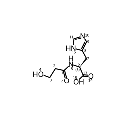 O=C(CCO)N[C@@H](Cc1cnc[nH]1)C(=O)O